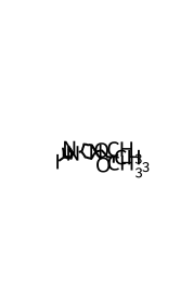 CC(C)(C)C(=O)ON1CCC(n2cc(I)cn2)CC1